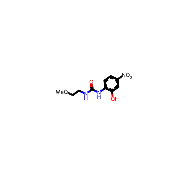 COCCNC(=O)Nc1ccc([N+](=O)[O-])cc1O